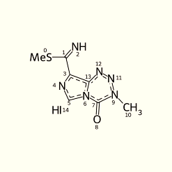 CSC(=N)c1ncn2c(=O)n(C)nnc12.I